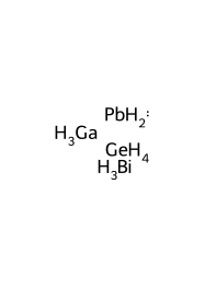 [BiH3].[GaH3].[GeH4].[PbH2]